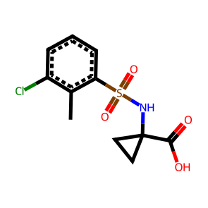 Cc1c(Cl)cccc1S(=O)(=O)NC1(C(=O)O)CC1